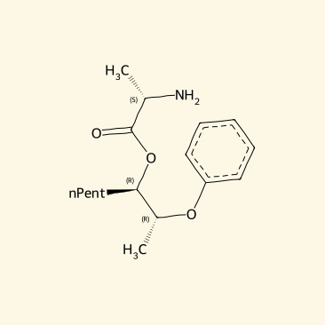 CCCCC[C@@H](OC(=O)[C@H](C)N)[C@@H](C)Oc1ccccc1